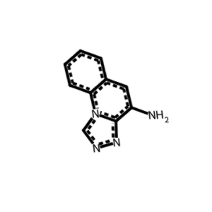 Nc1cc2ccccc2n2cnnc12